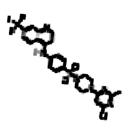 Cc1nc(Cl)nc(N2CCN(S(=O)(=O)c3ccc(Nc4ccnc5cc(C(F)(F)F)ccc45)cc3)CC2)n1